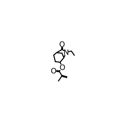 C=C(C)C(=O)OC1CCC2CC1N(CC)C2=O